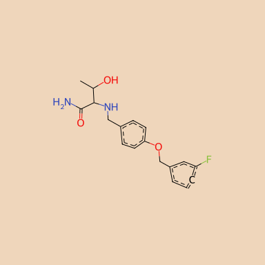 CC(O)C(NCc1ccc(OCc2cccc(F)c2)cc1)C(N)=O